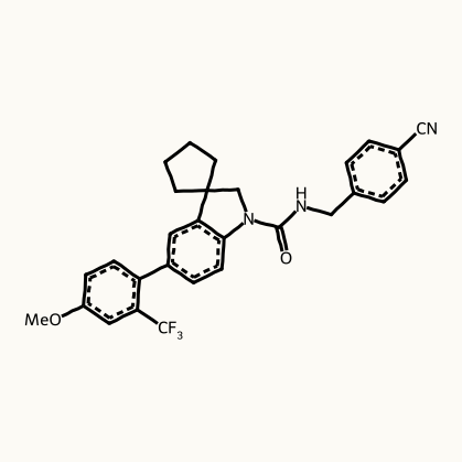 COc1ccc(-c2ccc3c(c2)C2(CCCC2)CN3C(=O)NCc2ccc(C#N)cc2)c(C(F)(F)F)c1